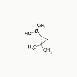 CC1(C)CC1B(O)O